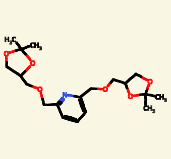 CC1(C)OCC(COCc2cccc(COCC3COC(C)(C)O3)n2)O1